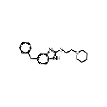 c1ccc(Cc2ccc3[nH]c(SCCN4CCCCC4)nc3c2)cc1